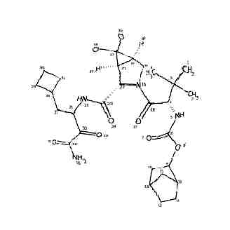 CC(C)(C)[C@H](NC(=O)OC1CC2CCC1C2)C(=O)N1C[C@H]2[C@@H]([C@H]1C(=O)NC(CC1CCC1)C(=O)C(N)=O)C2(Cl)Cl